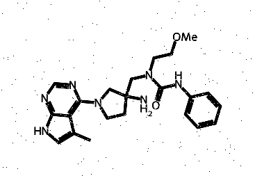 COCCN(CC1(N)CCN(c2ncnc3[nH]cc(C)c23)C1)C(=O)Nc1ccccc1